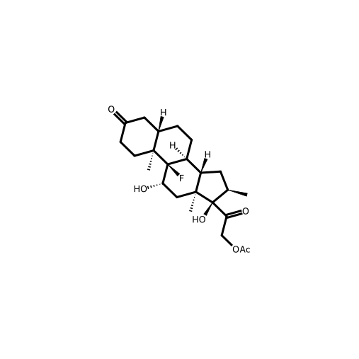 CC(=O)OCC(=O)[C@@]1(O)[C@H](C)C[C@H]2[C@@H]3CC[C@H]4CC(=O)CC[C@]4(C)[C@@]3(F)[C@@H](O)C[C@@]21C